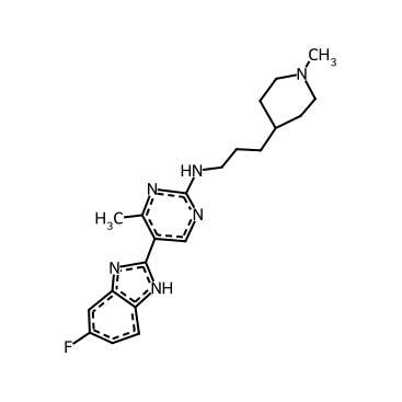 Cc1nc(NCCCC2CCN(C)CC2)ncc1-c1nc2cc(F)ccc2[nH]1